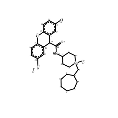 CC[N+]1(CC2CCCCCC2)CCC(NC(=O)C2c3cc(Cl)ccc3Oc3ccc(Cl)cc32)CC1.[I-]